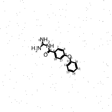 NC(N)NC(=O)c1ccc(Oc2ccccc2)cc1